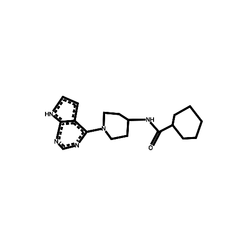 O=C(NC1CCN(c2ncnc3[nH]ccc23)CC1)C1CCCCC1